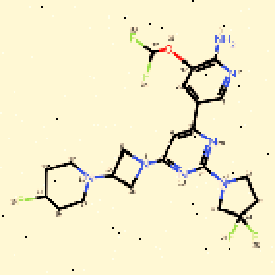 Nc1ncc(-c2cc(N3CC(N4CCC(F)CC4)C3)nc(N3CCC(F)(F)C3)n2)cc1OC(F)F